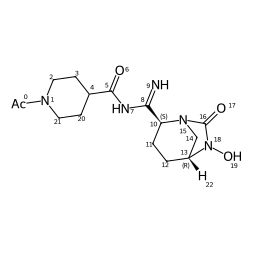 CC(=O)N1CCC(C(=O)NC(=N)[C@@H]2CC[C@@H]3CN2C(=O)N3O)CC1